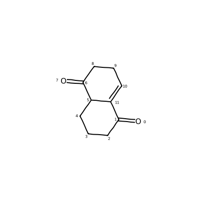 O=C1CCCC2C(=O)CCC=C12